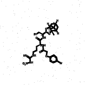 CC(C)C[C@H](NC(=O)[C@H](CCCNC(=N)N[N+](=O)[O-])NC(=O)COc1ccc(Br)cc1)B1O[C@@H]2C[C@@H]3C[C@@H](C3(C)C)[C@]2(C)O1